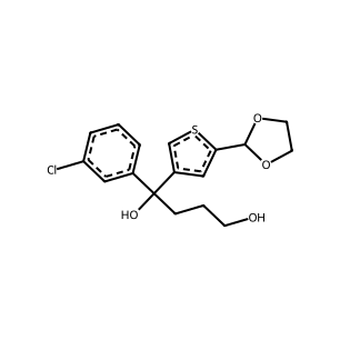 OCCCC(O)(c1cccc(Cl)c1)c1csc(C2OCCO2)c1